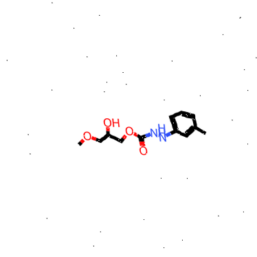 COCC(O)COC(=O)NNc1cccc(C)c1